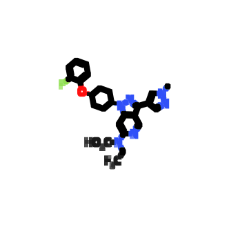 Cn1cc(-c2nn([C@H]3CC[C@@H](Oc4ccccc4F)CC3)c3cc(N(CC(F)(F)F)C(=O)O)ncc23)cn1